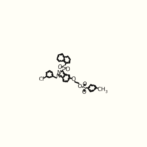 Cc1ccc(S(=O)(=O)OCCOc2ccc3c(c2)c(S(=O)(=O)c2cccc4ccccc24)nn3Cc2cccc(Cl)c2)cc1